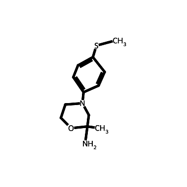 CSc1ccc(N2CCOC(C)(N)C2)cc1